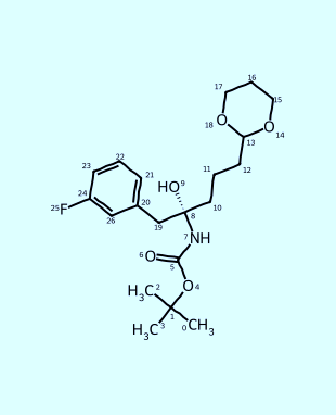 CC(C)(C)OC(=O)N[C@](O)(CCCC1OCCCO1)Cc1cccc(F)c1